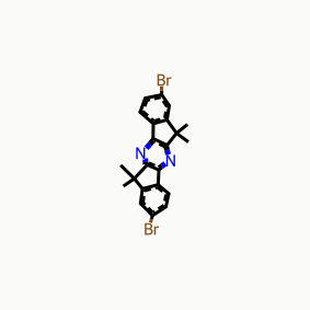 CC1(C)c2cc(Br)ccc2-c2nc3c(nc21)-c1ccc(Br)cc1C3(C)C